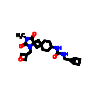 CN1C(=O)N(CC2COC2)C2(CC3(CCC(NC(=O)NCC4C5CCC54)CC3)C2)C1=O